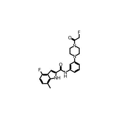 Cc1ccc(F)c2cc(C(=O)Nc3cccc(N4CCN(C(=O)CF)CC4)c3)[nH]c12